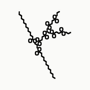 CCCCCCCCCCCCCC(=O)OCC(COC(=O)CCCCCCCCCCCCC)OC(=O)CCC(=O)OC(COC(=O)CCC(=O)OCCC)COC(=O)CCC(=O)OCCC